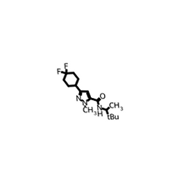 CC(NC(=O)c1cc(C2CCC(F)(F)CC2)nn1C)C(C)(C)C